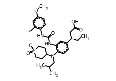 CC[C@H](CC(=O)O)c1ccc(N(CC(C)C)C2CCS(=O)(=O)CC2)c(NC(=O)Nc2ccc(OC)cc2F)c1